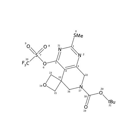 CSc1nc2c(c(OS(=O)(=O)C(F)(F)F)n1)C1(COC1)CN(C(=O)OC(C)(C)C)C2